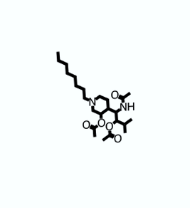 CCCCCCCCN1CCC(C(NC(C)=O)C(OC(C)=O)C(C)C)C(OC(C)=O)C1